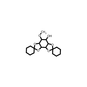 COC1C(O)C2OC3(CCCCC3)OC2C2OC3(CCCCC3)OC12